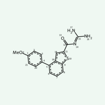 COc1ccc(-c2cccc3sc(C(=O)N=C(N)N)cc23)cc1